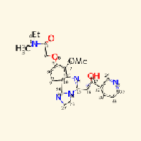 CCN(C)C(=O)COc1ccc2c(c1OC)N=C(/C=C(\O)c1cccnc1)N1CCN=C21